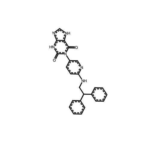 O=c1[nH]c2nc[nH]c2c(=O)n1-c1ccc(NCC(c2ccccc2)c2ccccc2)nc1